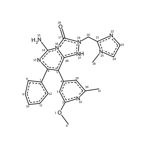 COc1cc(-c2c(-c3ccccc3)nc(N)[n+]3c(=O)n(Cc4nccn4C)[nH]c23)cc(C)n1